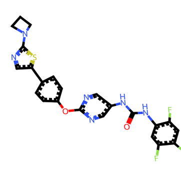 O=C(Nc1cnc(Oc2ccc(-c3cnc(N4CCC4)s3)cc2)nc1)Nc1cc(F)c(F)cc1F